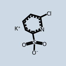 O=S(=O)([O-])c1cccc(Cl)n1.[K+]